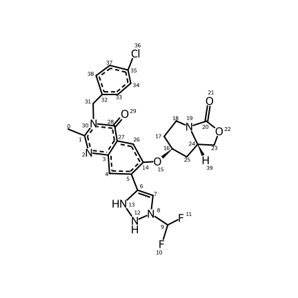 Cc1nc2cc(C3=CN(C(F)F)NN3)c(O[C@H]3CCN4C(=O)OC[C@@H]4C3)cc2c(=O)n1Cc1ccc(Cl)cc1